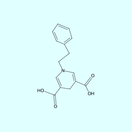 O=C(O)C1=CN(CCc2ccccc2)C=C(C(=O)O)C1